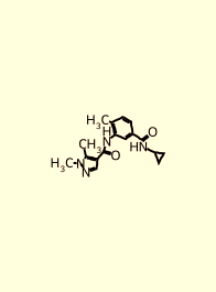 Cc1ccc(C(=O)NC2CC2)cc1NC(=O)c1cnn(C)c1C